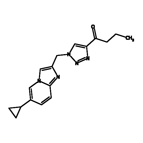 CCCC(=O)c1cn(Cc2cn3cc(C4CC4)ccc3n2)nn1